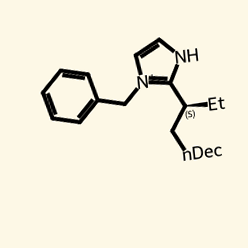 CCCCCCCCCCC[C@H](CC)c1[nH]cc[n+]1Cc1ccccc1